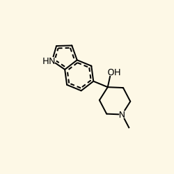 CN1CCC(O)(c2ccc3[nH]ccc3c2)CC1